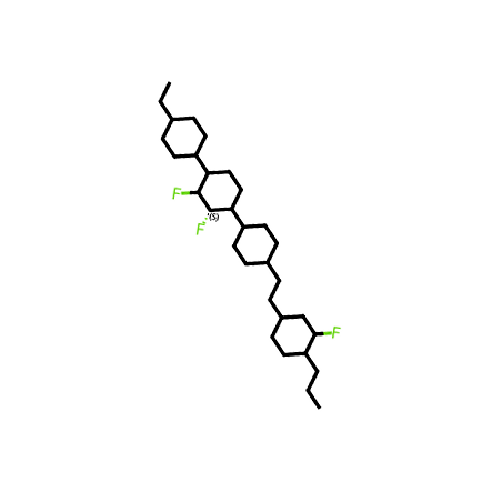 CCCC1CCC(CCC2CCC(C3CCC(C4CCC(CC)CC4)C(F)[C@H]3F)CC2)CC1F